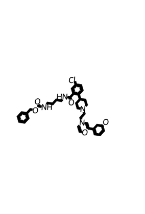 O=C1C=CC=C(C2=CN(CCN3CCC(c4ccc(Cl)cc4C(=O)NCCCCNC(=O)OCc4ccccc4)CC3)C=CO2)C1